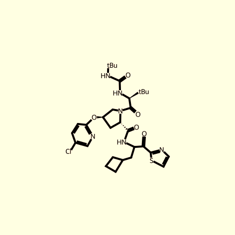 CC(C)(C)NC(=O)N[C@H](C(=O)N1C[C@H](Oc2ccc(Cl)cn2)C[C@H]1C(=O)NC(CC1CCC1)C(=O)c1nccs1)C(C)(C)C